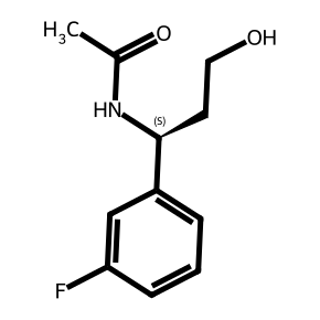 CC(=O)N[C@@H](CCO)c1cccc(F)c1